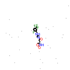 O=C1N[C@H](CCC(=O)N2CC(NCc3cc(C(F)(F)F)ccc3F)C2)CO1